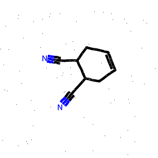 N#CC1CC=CCC1C#N